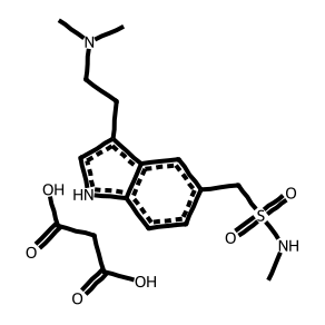 CNS(=O)(=O)Cc1ccc2[nH]cc(CCN(C)C)c2c1.O=C(O)CC(=O)O